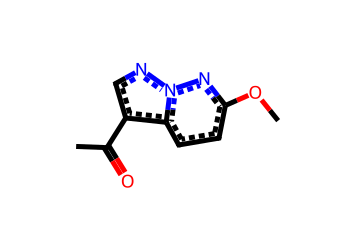 COc1ccc2c(C(C)=O)cnn2n1